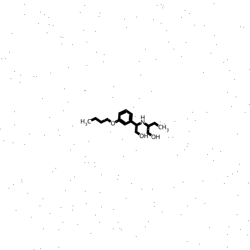 CCCCOc1cccc(C(CO)NC(CC)CO)c1